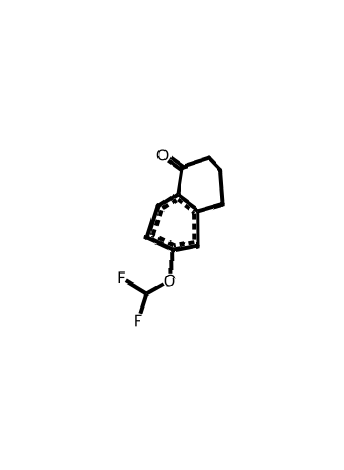 O=C1CCCc2cc(OC(F)F)ccc21